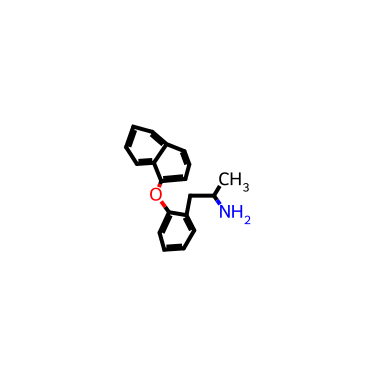 CC(N)Cc1ccccc1Oc1cccc2ccccc12